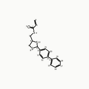 C=CC(=O)SCC1CSC(c2ccc(-c3ccccc3)cc2)S1